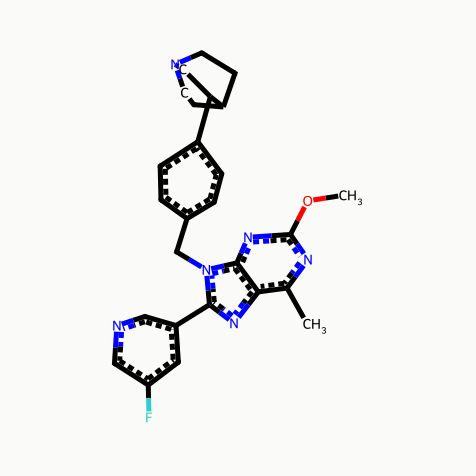 COc1nc(C)c2nc(-c3cncc(F)c3)n(Cc3ccc(C4CN5CCC4CC5)cc3)c2n1